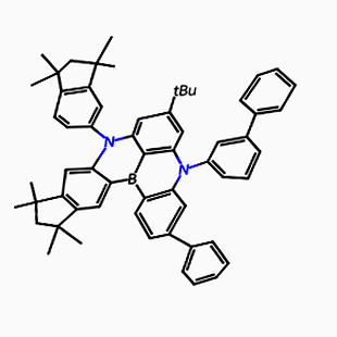 CC(C)(C)c1cc2c3c(c1)N(c1ccc4c(c1)C(C)(C)CC4(C)C)c1cc4c(cc1B3c1ccc(-c3ccccc3)cc1N2c1cccc(-c2ccccc2)c1)C(C)(C)CC4(C)C